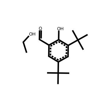 CC(C)(C)c1cc(C=O)c(O)c(C(C)(C)C)c1.CCO